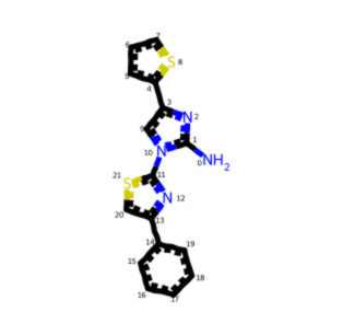 Nc1nc(-c2cccs2)cn1-c1nc(-c2ccccc2)cs1